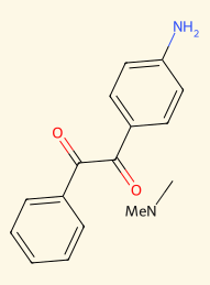 CNC.Nc1ccc(C(=O)C(=O)c2ccccc2)cc1